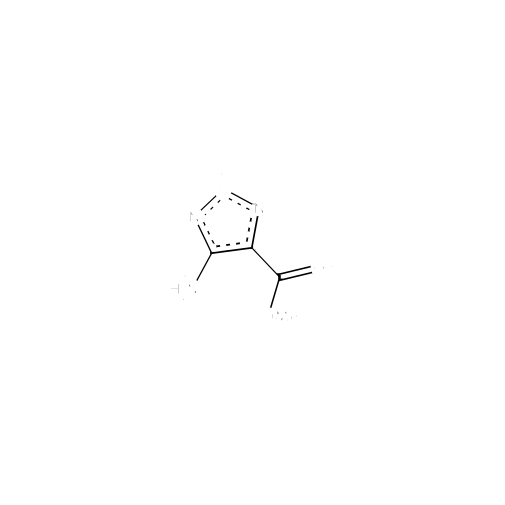 COC(=O)c1nonc1N